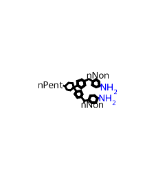 CCCCCCCCCC(c1ccc(N)cc1)c1ccc(C2(c3ccc(C(CCCCCCCCC)c4ccc(N)cc4)cc3)CCC(CCCCC)CC2)cc1